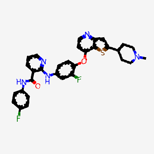 CN1CCC(c2cc3nccc(Oc4ccc(Nc5ncccc5C(=O)Nc5ccc(F)cc5)cc4F)c3s2)CC1